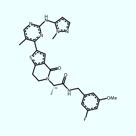 COc1cc(F)cc(CNC(=O)[C@H](C)N2CCc3sc(-c4nc(Nc5ccnn5C)ncc4C)cc3C2=O)c1